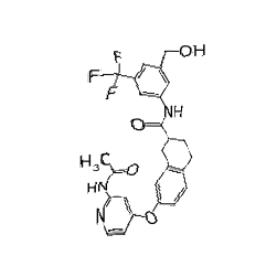 CC(=O)Nc1cc(Oc2ccc3c(c2)CC(C(=O)Nc2cc(CO)cc(C(F)(F)F)c2)CC3)ccn1